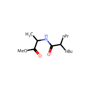 CCCCC(CCC)C(=O)NC(C)C(=O)OC